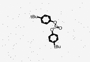 CC(C)(C)c1ccc(O[Si](=O)Oc2ccc(C(C)(C)C)cc2)cc1